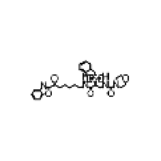 O=C(CCCCCNC(=O)C(CNC(=O)N1CCOCC1)S(=O)(=O)Cc1ccccc1C(F)(F)F)c1nc2ccccc2o1